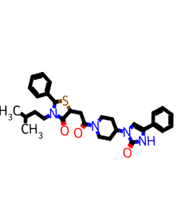 CC(C)CCN1C(=O)C(CC(=O)N2CCC(n3cc(-c4ccccc4)[nH]c3=O)CC2)SC1c1ccccc1